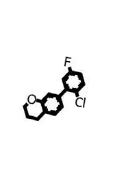 Fc1ccc(Cl)c(-c2ccc3c(c2)OCCC3)c1